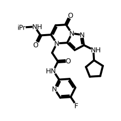 CC(C)NC(=O)c1cc(=O)n2nc(NC3CCCC3)cc2n1CC(=O)Nc1ccc(F)cn1